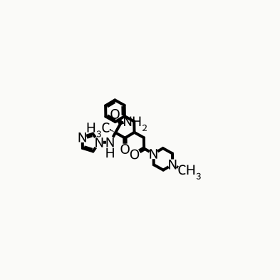 CN1CCN(C(=O)CC(Cc2ccccc2)C(=O)[C@@](C)(Nn2ccnc2)C(N)=O)CC1